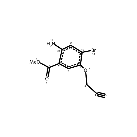 C#CCOc1cc(C(=O)OC)c(N)cc1Br